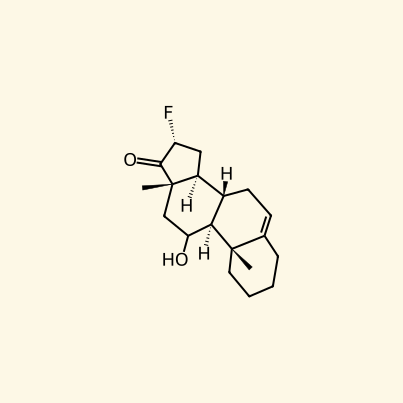 C[C@]12CCCCC1=CC[C@@H]1[C@@H]2C(O)C[C@]2(C)C(=O)[C@H](F)C[C@@H]12